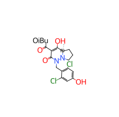 CC(C)COC(=O)C1=C(O)[C@@]2(C)CCCN2N(Cc2c(Cl)cc(O)cc2Cl)C1=O